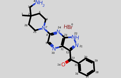 Br.CC1(CN)CCN(c2cnc3c(C(=O)c4ccccc4)n[nH]c3n2)CC1